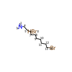 Br.CN(C)CCCCCCCCCCBr